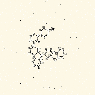 Brc1ccc(-c2cccc(-c3ccc4c5ccccc5n(-c5ccc6c(c5)oc5ccccc56)c4c3)c2)cc1